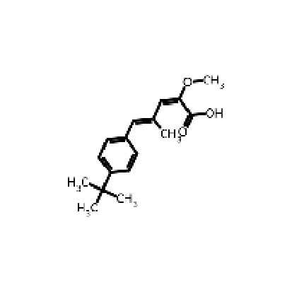 CO/C(=C/C(C)=C/c1ccc(C(C)(C)C)cc1)C(=O)O